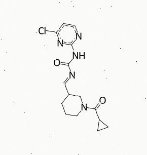 O=C(/N=C/C1CCCN(C(=O)C2CC2)C1)Nc1nccc(Cl)n1